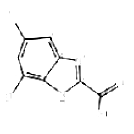 O=C(O)c1nc2cc(F)cc(Cl)c2[nH]1